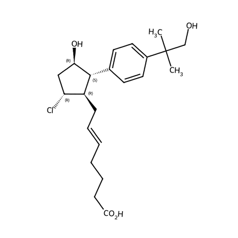 CC(C)(CO)c1ccc([C@@H]2[C@@H](CC=CCCCC(=O)O)[C@H](Cl)C[C@H]2O)cc1